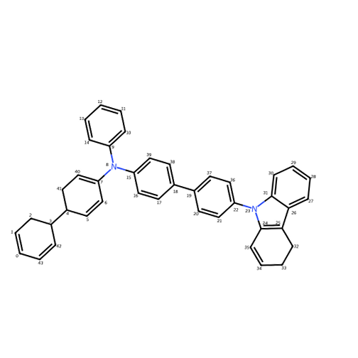 C1=CCC(C2C=CC(N(c3ccccc3)c3ccc(-c4ccc(-n5c6c(c7ccccc75)CCC=C6)cc4)cc3)=CC2)C=C1